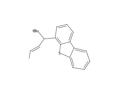 CC=CC(c1cccc2c1sc1ccccc12)C(C)(C)C